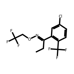 CC/C(=N\OCC(F)(F)F)c1cc(Cl)ccc1C(F)(F)F